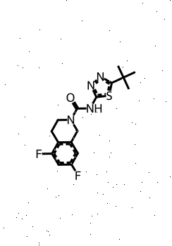 CC(C)(C)c1nnc(NC(=O)N2CCc3c(F)cc(F)cc3C2)s1